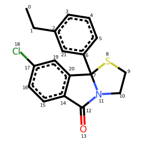 CCc1cccc(C23SCCN2C(=O)c2ccc(Cl)cc23)c1